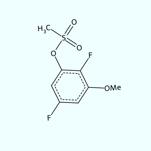 COc1cc(F)cc(OS(C)(=O)=O)c1F